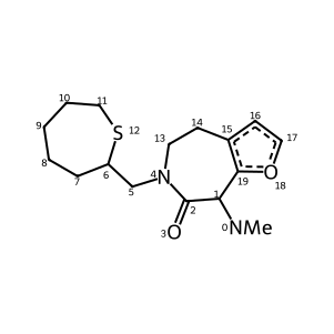 CNC1C(=O)N(CC2CCCCCS2)CCc2ccoc21